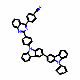 N#Cc1ccc(-c2nc(-c3ccc(-n4c5ccccc5c5cc(-c6ccc7c(c6)c6ccccc6n7-c6ccccc6)ccc54)cc3)nc3ccccc23)cc1